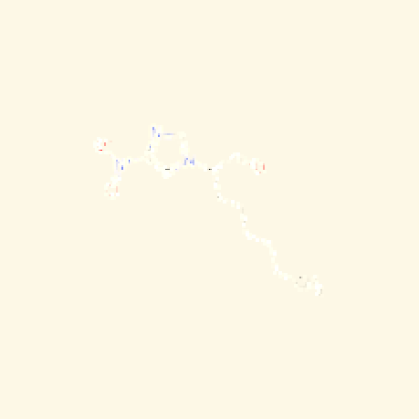 CCCCCCC(C=O)n1cnc([N+](=O)[O-])c1